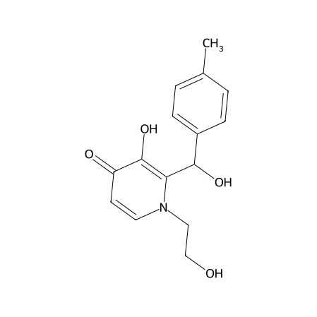 Cc1ccc(C(O)c2c(O)c(=O)ccn2CCO)cc1